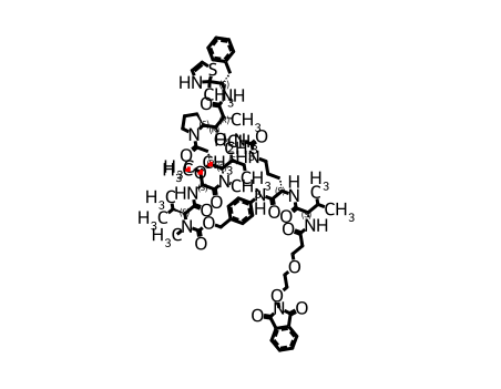 CC[C@H](C)[C@@H]([C@@H](CC(=O)N1CCC[C@H]1[C@H](OC)[C@@H](C)C(=O)N[C@@H](Cc1ccccc1)C1(C)NC=CS1)OC)N(C)C(=O)[C@@H](NC(=O)[C@H](C(C)C)N(C)C(=O)OCc1ccc(NC(=O)[C@H](CCCNC(N)=O)NC(=O)[C@@H](NC(=O)CCOCCON2C(=O)c3ccccc3C2=O)C(C)C)cc1)C(C)C